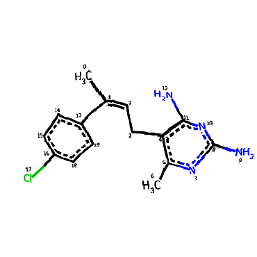 C/C(=C/Cc1c(C)nc(N)nc1N)c1ccc(Cl)cc1